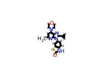 Cc1cc(N2CCOCC2)c2nc(C3CC3)n(-c3ccc4[nH]c(=O)sc4c3)c2n1